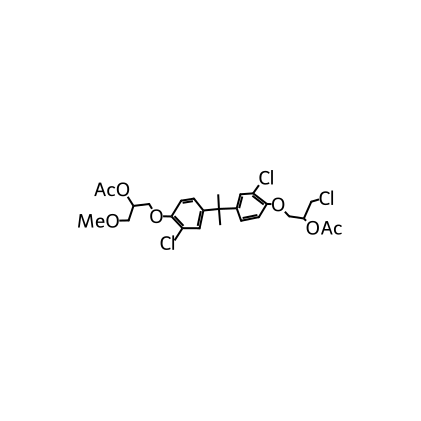 COCC(COc1ccc(C(C)(C)c2ccc(OCC(CCl)OC(C)=O)c(Cl)c2)cc1Cl)OC(C)=O